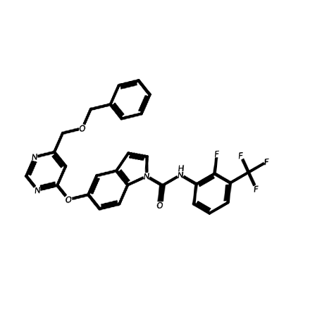 O=C(Nc1cccc(C(F)(F)F)c1F)n1ccc2cc(Oc3cc(COCc4ccccc4)ncn3)ccc21